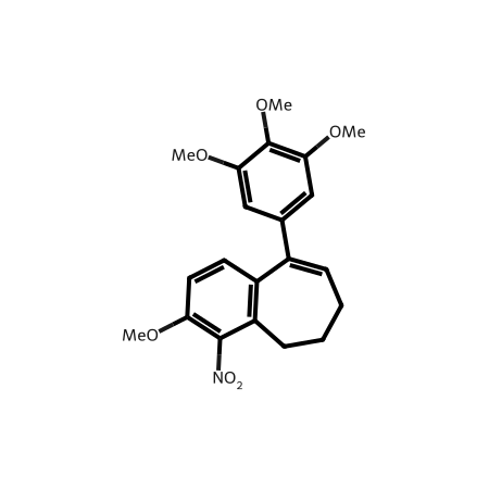 COc1cc(C2=CCCCc3c2ccc(OC)c3[N+](=O)[O-])cc(OC)c1OC